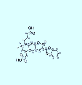 CC1(C)C=C(CS(=O)(=O)O)c2cc3cc(-c4nc5ccccc5o4)c(=O)oc3cc2N1CCCC(=O)O